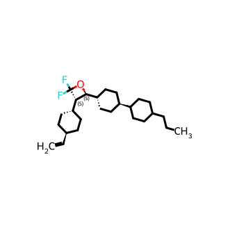 C=C[C@H]1CC[C@H]([C@H]2[C@H]([C@H]3CC[C@H](C4CCC(CCC)CC4)CC3)OC2(F)F)CC1